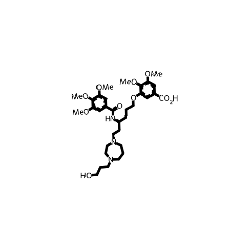 COc1cc(C(=O)NC(CCCOc2cc(C(=O)O)cc(OC)c2OC)CCN2CCCN(CCCO)CC2)cc(OC)c1OC